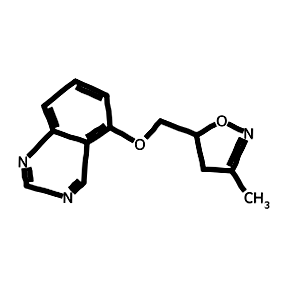 CC1=NOC(COc2cccc3ncncc23)C1